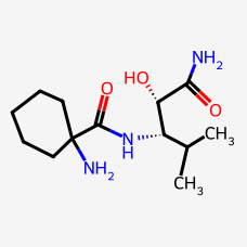 CC(C)[C@H](NC(=O)C1(N)CCCCC1)[C@H](O)C(N)=O